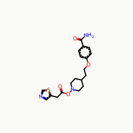 NC(=O)c1ccc(OCCC2CCN(OC(=O)Cc3cncs3)CC2)cc1